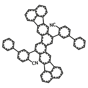 N#Cc1ccc(-c2ccccc2)cc1-c1cc2c3cc4c(cc3c(-c3cc(-c5ccccc5)ccc3C#N)cc2c2cc3c(cc12)-c1cccc2cccc-3c12)-c1cccc2cccc-4c12